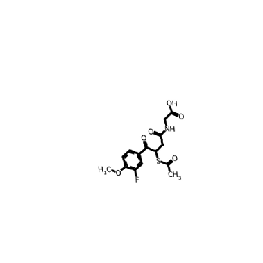 COc1ccc(C(=O)C(CC(=O)NCC(=O)O)SC(C)=O)cc1F